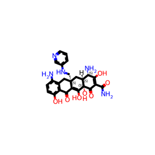 NC(=O)C1=C(O)[C@@H](N)[C@@H]2C[C@]3(CNc4cccnc4)Cc4c(N)ccc(O)c4C(=O)C3=C(O)[C@]2(O)C1=O